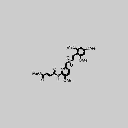 COC(=O)/C=C/C(=O)Nc1nc(CS(=O)(=O)/C=C/c2c(OC)cc(OC)cc2OC)ccc1OC